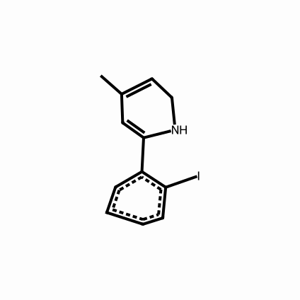 CC1=CCNC(c2ccccc2I)=C1